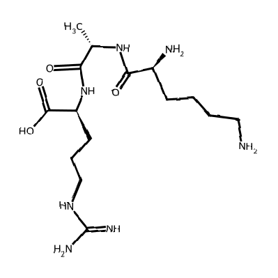 C[C@H](NC(=O)[C@@H](N)CCCCN)C(=O)N[C@@H](CCCNC(=N)N)C(=O)O